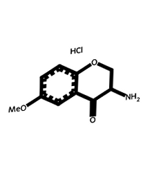 COc1ccc2c(c1)C(=O)C(N)CO2.Cl